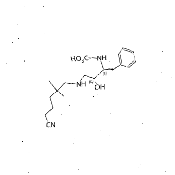 CC(C)(CCCC#N)CNC[C@@H](O)[C@H](Cc1ccccc1)NC(=O)O